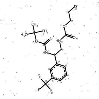 CC(C)(C)OC(=O)NC(CNC(=O)OCCBr)c1cccc(C(F)(F)F)c1